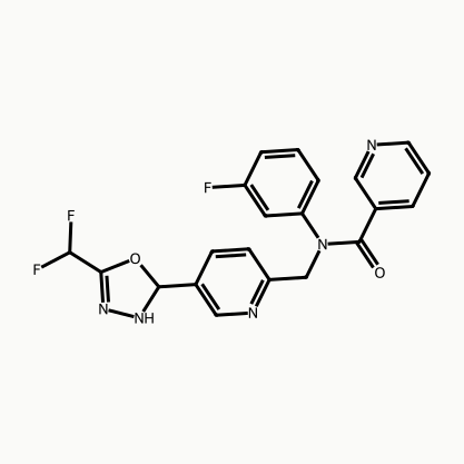 O=C(c1cccnc1)N(Cc1ccc(C2NN=C(C(F)F)O2)cn1)c1cccc(F)c1